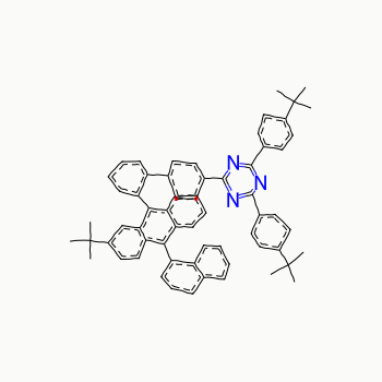 CC(C)(C)c1ccc(-c2nc(-c3ccc(-c4ccccc4-c4c5ccccc5c(-c5cccc6ccccc56)c5ccc(C(C)(C)C)cc45)cc3)nc(-c3ccc(C(C)(C)C)cc3)n2)cc1